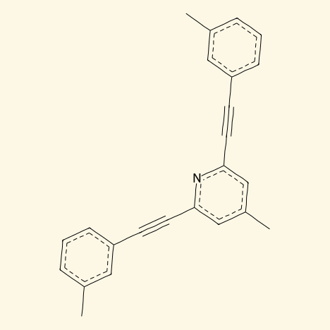 Cc1cccc(C#Cc2cc(C)cc(C#Cc3cccc(C)c3)n2)c1